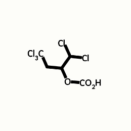 O=C(O)OC(CC(Cl)(Cl)Cl)C(Cl)Cl